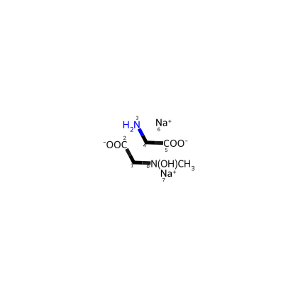 CN(O)CC(=O)[O-].NCC(=O)[O-].[Na+].[Na+]